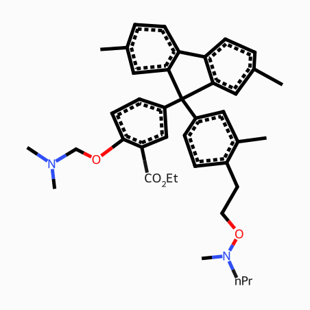 CCCN(C)OCCc1ccc(C2(c3ccc(OCN(C)C)c(C(=O)OCC)c3)c3cc(C)ccc3-c3ccc(C)cc32)cc1C